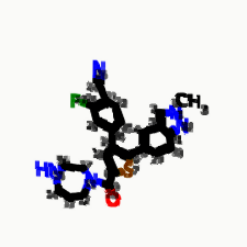 Cn1cc2cc(-c3sc(C(=O)N4CCCNCC4)cc3-c3ccc(C#N)c(F)c3)ccc2n1